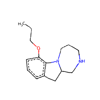 CCCOc1cccc2c1N1CCCNCC1C2